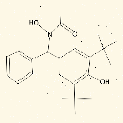 CC(=O)N(O)C(c1ccccc1)c1cc(C(C)(C)C)c(O)c(C(C)(C)C)c1